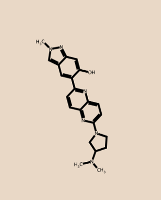 CN(C)C1CCN(c2ccc3nc(-c4cc5cn(C)nc5cc4O)ccc3n2)C1